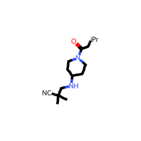 CC(C)CC(=O)N1CCC(NCC(C)(C)C#N)CC1